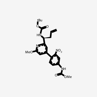 C=CC[C@H](NC(=O)OC(C)(C)C)c1cc(-c2ccc(NC(=O)OC)cc2[N+](=O)[O-])cc(OC)n1